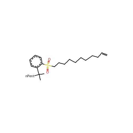 C=CCCCCCCCCCS(=O)(=O)c1ccccc1C(C)(C)CCCCC